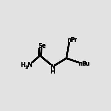 CCCCC(CCC)NC(N)=[Se]